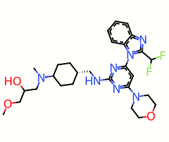 COCC(O)CN(C)[C@H]1CC[C@H](CNc2nc(N3CCOCC3)cc(-n3c(C(F)F)nc4ccccc43)n2)CC1